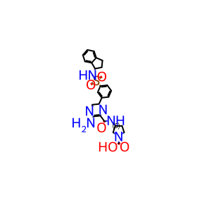 Nc1ncc(-c2cccc(S(=O)(=O)NC3CCc4ccccc43)c2)nc1C(=O)N[C@H]1CCN(C(=O)O)C1